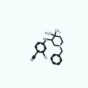 CC1(C)CCN(Cc2ccccc2)CC1Nc1ccc(C#N)c(Cl)c1